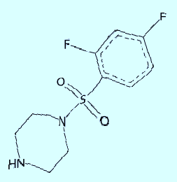 O=S(=O)(c1ccc(F)cc1F)N1CCNCC1